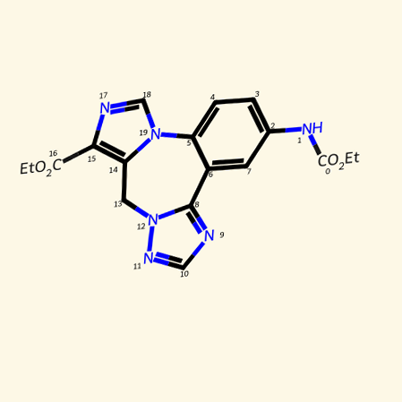 CCOC(=O)Nc1ccc2c(c1)-c1ncnn1Cc1c(C(=O)OCC)ncn1-2